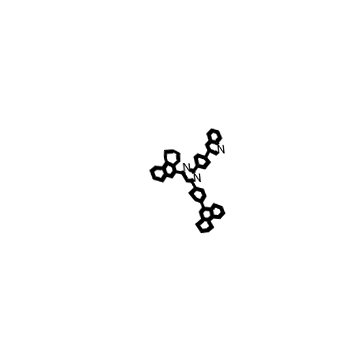 C1=CCc2c(c(-c3cc(-c4ccc(-c5cc6ccccc6c6ccccc56)cc4)nc(-c4ccc(-c5cnc6ccccc6c5)cc4)n3)cc3ccccc23)C=C1